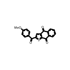 COc1ccc(C(=O)c2cc3c(s2)C(=O)c2ccccc2C3=O)cc1